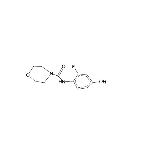 O=C(Nc1ccc(O)cc1F)N1CCOCC1